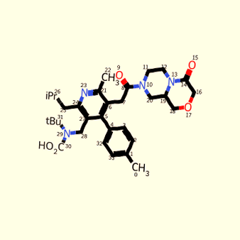 Cc1ccc(-c2c(CC(=O)N3CCN4C(=O)COCC4C3)c(C)nc(CC(C)C)c2CN(C(=O)O)C(C)(C)C)cc1